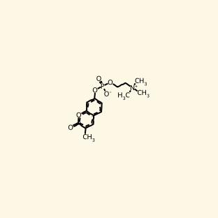 Cc1cc2ccc(OP(=O)([O-])OCC[N+](C)(C)C)cc2oc1=O